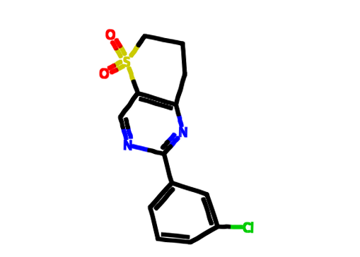 O=S1(=O)CCCc2nc(-c3cccc(Cl)c3)ncc21